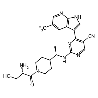 C[C@@H](Nc1ncc(C#N)c(-c2c[nH]c3ncc(C(F)(F)F)cc23)n1)C1CCN(C(=O)[C@@H](N)CO)CC1